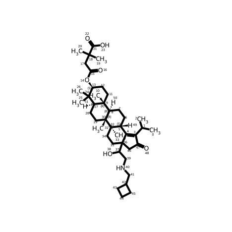 CC(C)C1=C2[C@H]3CC[C@@H]4[C@@]5(C)CC[C@H](OC(=O)CC(C)(C)C(=O)O)C(C)(C)[C@@H]5CC[C@@]4(C)[C@]3(C)CCC2(C(O)CNCC2CCC2)CC1=O